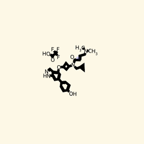 CN(C)C/C=C/C(=O)N(CC1CC1)C1CC(Oc2cc(-c3ccc(O)cc3)cc3[nH]ncc23)C1.O=C(O)C(F)(F)F